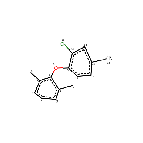 Cc1cccc(C)c1Oc1ccc(C#N)cc1Cl